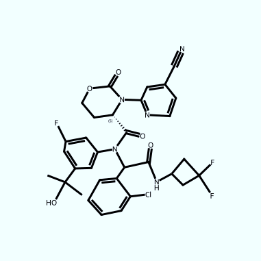 CC(C)(O)c1cc(F)cc(N(C(=O)[C@@H]2CCOC(=O)N2c2cc(C#N)ccn2)C(C(=O)NC2CC(F)(F)C2)c2ccccc2Cl)c1